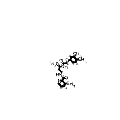 C=C(CCNC(=O)c1ncccc1C)NC(=O)COc1ccc(C)c(C)c1